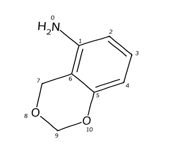 Nc1cccc2c1COCO2